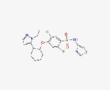 CCn1nccc1C1CCCCC1Oc1cc(F)c(S(=O)(=O)Nc2cscn2)cc1Cl